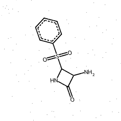 NC1C(=O)NC1S(=O)(=O)c1ccccc1